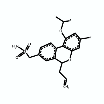 C=CCC1Oc2cc(F)cc(OC(F)F)c2-c2ccc(CS(N)(=O)=O)cc21